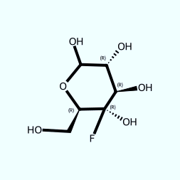 OC[C@H]1OC(O)[C@H](O)[C@@H](O)[C@@]1(O)F